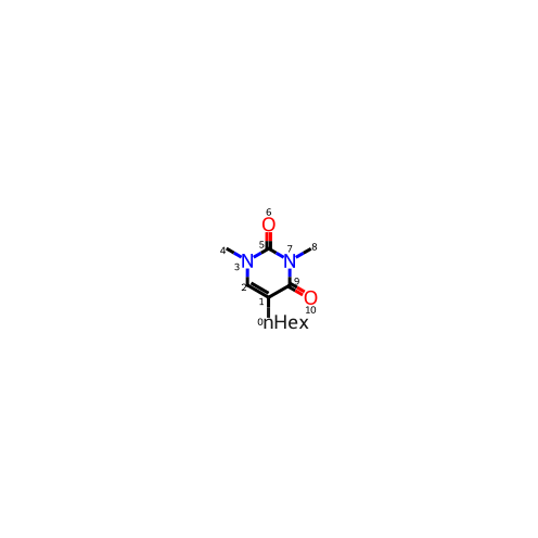 CCCCCCc1cn(C)c(=O)n(C)c1=O